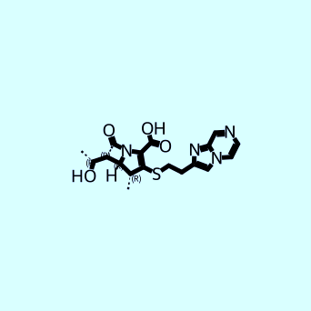 C[C@@H](O)[C@@H]1C(=O)N2C(C(=O)O)=C(SCCc3cn4ccncc4n3)[C@H](C)[C@@H]12